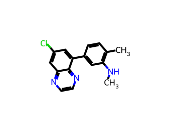 CNc1cc(-c2cc(Cl)cc3nccnc23)ccc1C